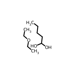 CCCCC(O)O.CCOCC